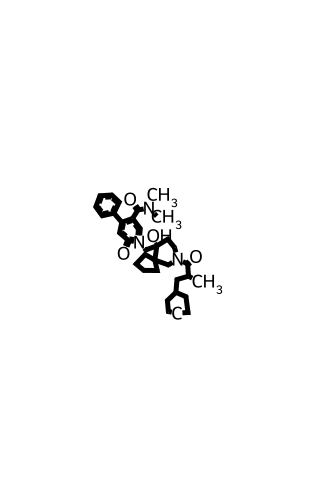 CC(CC1CCCCC1)C(=O)N1CC[C@@](O)(Cn2cc(C(=O)N(C)C)c(-c3ccccc3)cc2=O)C2(CCCC2)C1